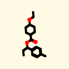 CCOC1CCC(C(=O)OC(CC)c2ccc(C)cc2)CC1